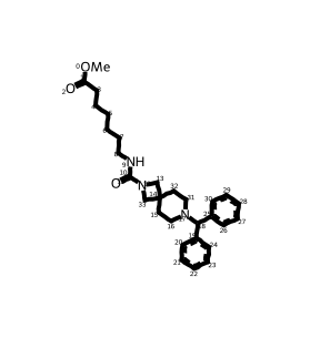 COC(=O)CCCCCCNC(=O)N1CC2(CCN(C(c3ccccc3)c3ccccc3)CC2)C1